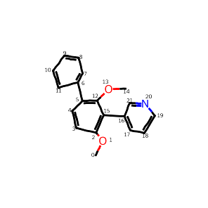 COc1ccc(-c2ccccc2)c(OC)c1-c1cccnc1